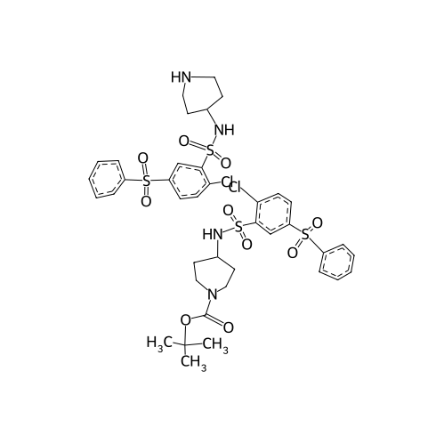 CC(C)(C)OC(=O)N1CCC(NS(=O)(=O)c2cc(S(=O)(=O)c3ccccc3)ccc2Cl)CC1.O=S(=O)(NC1CCNCC1)c1cc(S(=O)(=O)c2ccccc2)ccc1Cl